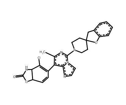 Cc1nc(N2CCC3(CC2)Cc2ccccc2O3)n2ccnc2c1C1=C(Cl)C2NC(=O)OC2C=C1